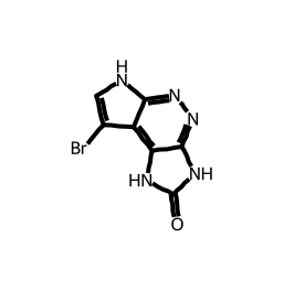 O=c1[nH]c2nnc3[nH]cc(Br)c3c2[nH]1